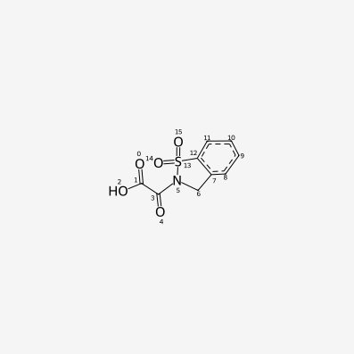 O=C(O)C(=O)N1Cc2ccccc2S1(=O)=O